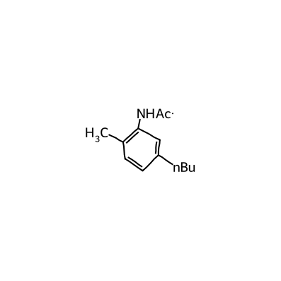 CCCCc1ccc(C)c([N]C(C)=O)c1